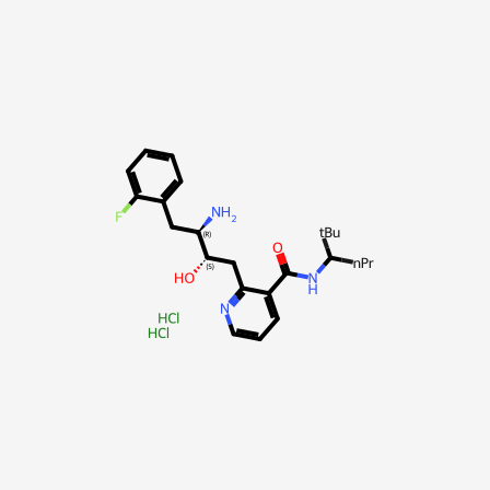 CCCC(NC(=O)c1cccnc1C[C@H](O)[C@H](N)Cc1ccccc1F)C(C)(C)C.Cl.Cl